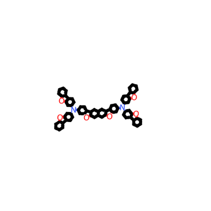 c1ccc2c(c1)oc1cc(N(c3ccc4c(c3)oc3ccccc34)c3ccc4c(c3)oc3cc5cc6oc7cc(N(c8ccc9c(c8)oc8ccccc89)c8ccc9c(c8)oc8ccccc89)ccc7c6cc5cc34)ccc12